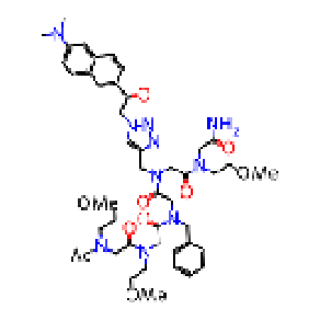 COCCN(CC(=O)N(CCOC)CC(=O)N(CC(=O)N(CC(=O)N(CCOC)CC(N)=O)Cc1cn(CC(=O)c2ccc3cc(N(C)C)ccc3c2)nn1)Cc1ccccc1)C(C)=O